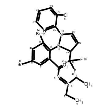 CCS(CC)=NC(=O)c1cc(Br)cc(Br)c1N1C(C(F)(F)F)C=CN1c1ncccc1Cl